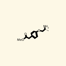 COC(=O)Cc1ccc(OC[C@@H](C)N)cc1